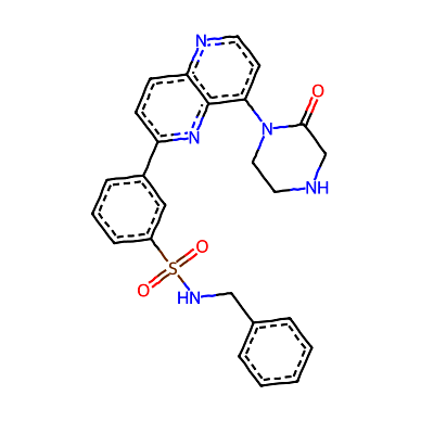 O=C1CNCCN1c1ccnc2ccc(-c3cccc(S(=O)(=O)NCc4ccccc4)c3)nc12